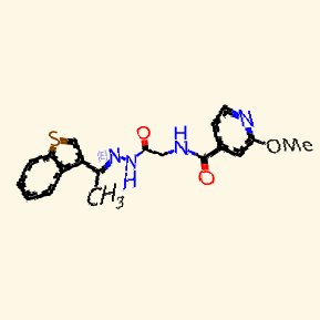 COc1cc(C(=O)NCC(=O)N/N=C(\C)c2csc3ccccc23)ccn1